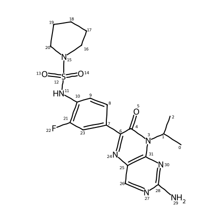 CC(C)n1c(=O)c(-c2ccc(NS(=O)(=O)N3CCCCC3)c(F)c2)nc2cnc(N)nc21